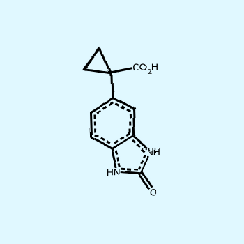 O=C(O)C1(c2ccc3[nH]c(=O)[nH]c3c2)CC1